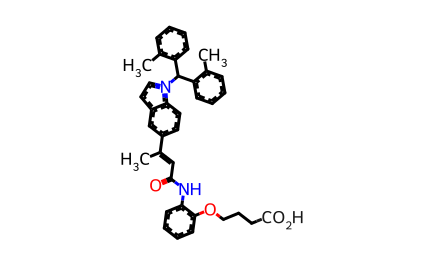 CC(=CC(=O)Nc1ccccc1OCCCC(=O)O)c1ccc2c(ccn2C(c2ccccc2C)c2ccccc2C)c1